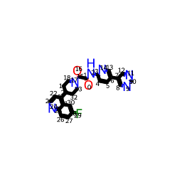 O=C(Nc1ccc(-c2cncnc2)cn1)C(=O)N1CCC(c2ccnc3ccc(F)cc23)CC1